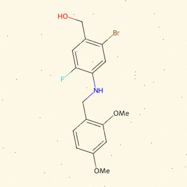 COc1ccc(CNc2cc(Br)c(CO)cc2F)c(OC)c1